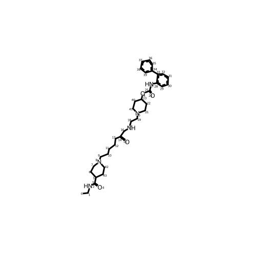 CCNC(=O)C1CCN(CCCCCC(=O)CNCCN2CCC(OC(=O)Nc3ccccc3-c3ccccc3)CC2)CC1